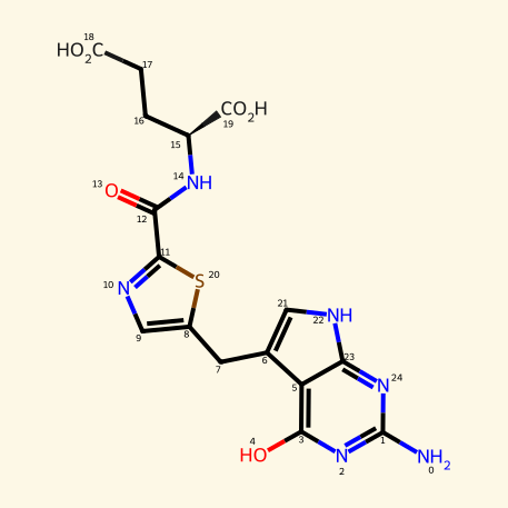 Nc1nc(O)c2c(Cc3cnc(C(=O)N[C@@H](CCC(=O)O)C(=O)O)s3)c[nH]c2n1